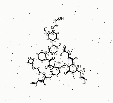 C=C/C=C(\C)[C@H](C[C@@H]1CC[C@@H](C)[C@](O)(C(=O)C(=O)N2CCCC[C@H]2C(=O)O[C@@H](CC(=O)[C@H](C)/C=C(\C)[C@@H](O)[C@@H](OC)C(=O)[C@H](C)C[C@H](C)/C=C/C)[C@H](C)C[C@@H]2CC[C@@H](OCCO)[C@H](OC)C2)O1)OCCOC1COC1